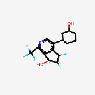 OC1CCCC(c2cnc(C(F)(F)F)c3c2[C@@H](F)[C@@H](F)[C@H]3O)C1